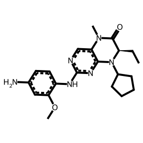 CC[C@@H]1C(=O)N(C)c2cnc(Nc3ccc(N)cc3OC)nc2N1C1CCCC1